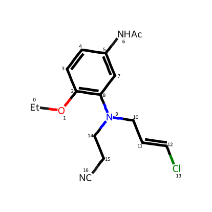 CCOc1ccc(NC(C)=O)cc1N(CC=CCl)CCC#N